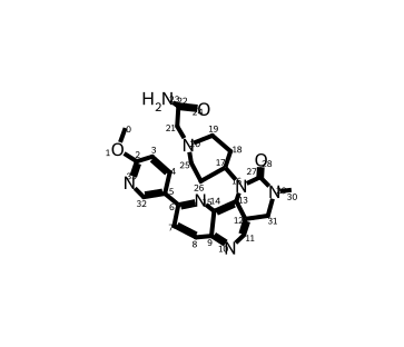 COc1ccc(-c2ccc3ncc4c(c3n2)N(C2CCN(CC(N)=O)CC2)C(=O)N(C)C4)cn1